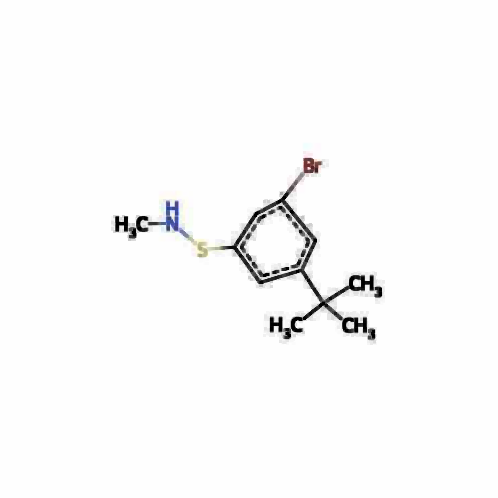 CNSc1cc(Br)cc(C(C)(C)C)c1